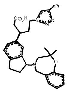 CCCc1cn(CCC(CC(=O)O)c2ccc3c(c2)C(N2Cc4ccccc4OC(C)(C)C2)CC3)nn1